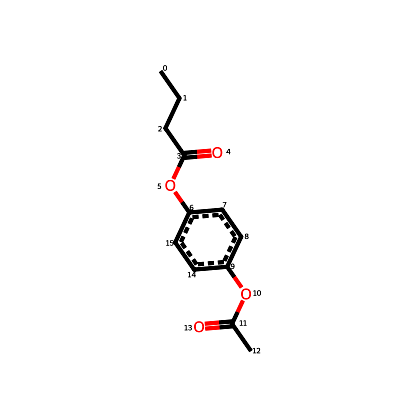 CCCC(=O)Oc1ccc(OC(C)=O)cc1